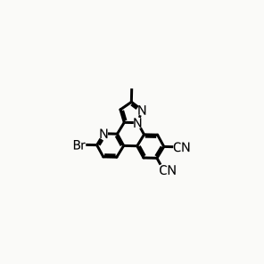 Cc1cc2c3nc(Br)ccc3c3cc(C#N)c(C#N)cc3n2n1